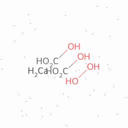 O=C(O)O.O=C(O)O.OO.[CaH2]